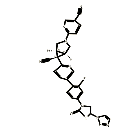 N#Cc1ccc(N2C[C@@H]3[C@H](C2)[C@@]3(C#N)c2ccc(-c3ccc(N4CC(n5ccnn5)OC4=O)cc3F)cn2)nc1